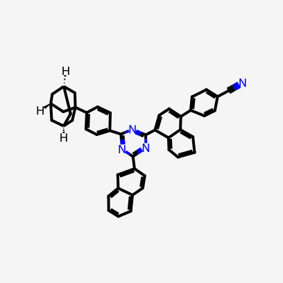 N#Cc1ccc(-c2ccc(-c3nc(-c4ccc(C56C[C@H]7C[C@@H](C5)C[C@@H](C6)C7)cc4)nc(-c4ccc5ccccc5c4)n3)c3ccccc23)cc1